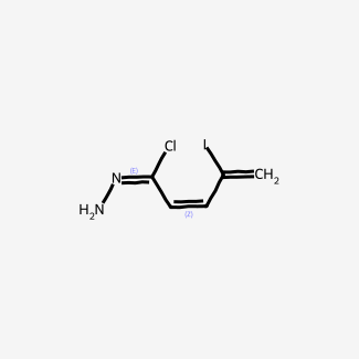 C=C(I)/C=C\C(Cl)=N/N